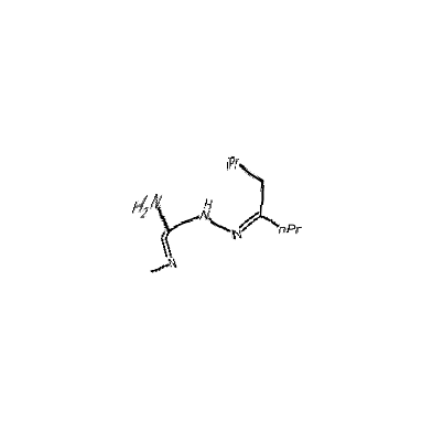 CCCC(CC(C)C)=NNC(N)=NC